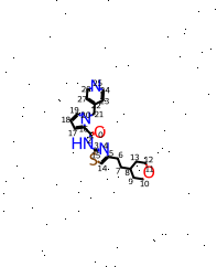 O=C(Nc1nc(CCC2CCOCC2)cs1)c1cccn1Cc1ccncc1